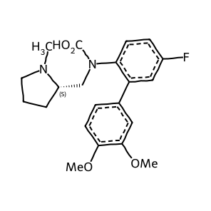 COc1ccc(-c2cc(F)ccc2N(C[C@@H]2CCCN2C)C(=O)O)cc1OC